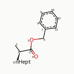 CCCCCCC[C@@H](C)C(=O)OCc1ccccc1